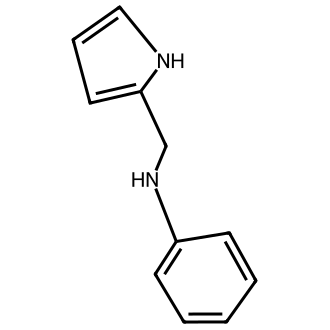 c1ccc(NCc2ccc[nH]2)cc1